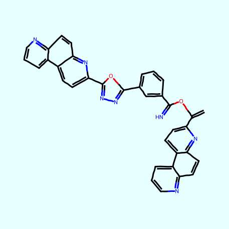 C=C(OC(=N)c1cccc(-c2nnc(-c3ccc4c(ccc5ncccc54)n3)o2)c1)c1ccc2c(ccc3ncccc32)n1